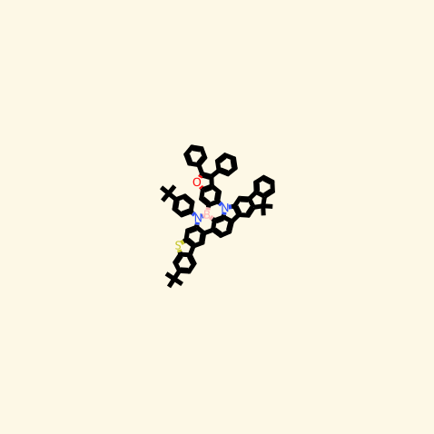 CC(C)(C)c1ccc(N2B3c4cc5oc(-c6ccccc6)c(-c6ccccc6)c5cc4-n4c5cc6c(cc5c5ccc(c3c54)-c3cc4c(cc32)sc2cc(C(C)(C)C)ccc24)C(C)(C)c2ccccc2-6)cc1